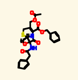 COC1(NC(=O)Cc2ccccc2)C(=O)N2C(C(=O)OCc3ccccc3)=C(COC(C)=O)CS[C@H]21